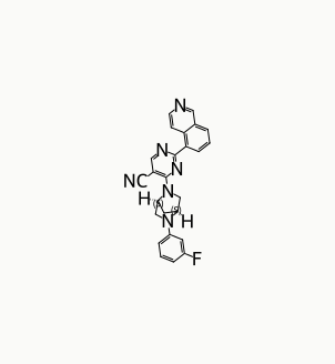 N#Cc1cnc(-c2cccc3cnccc23)nc1N1C[C@@H]2C[C@H]1CN2c1cccc(F)c1